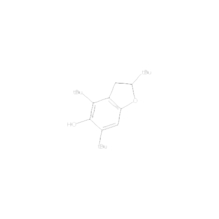 CC(C)(C)c1cc2c(c(C(C)(C)C)c1O)CC(C(C)(C)C)O2